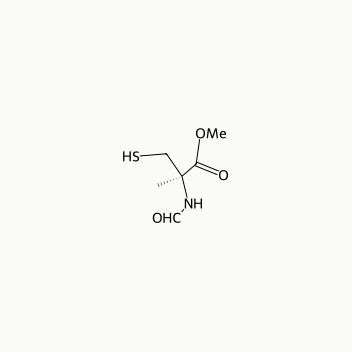 COC(=O)[C@](C)(CS)NC=O